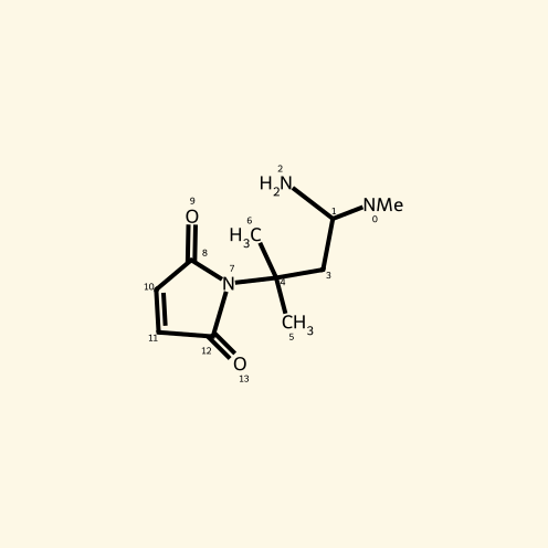 CNC(N)CC(C)(C)N1C(=O)C=CC1=O